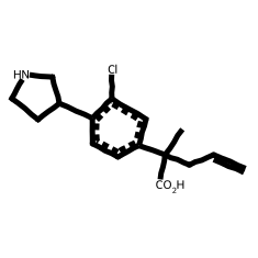 C=CCC(C)(C(=O)O)c1ccc(C2CCNC2)c(Cl)c1